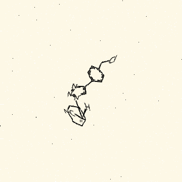 ClCc1ccc(-c2cn([C@H]3CN4CCC3CC4)nn2)cc1